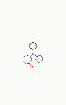 O=C1CCCCc2c1c1ccccc1n2-c1ccc(F)cc1